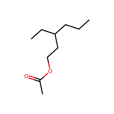 CCCC(CC)CCOC(C)=O